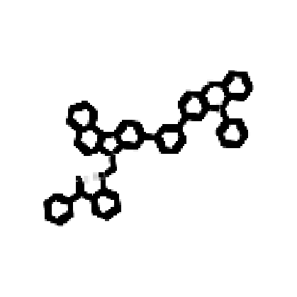 N=C(c1ccccc1)c1ccccc1NCn1c2cc(-c3cccc(-c4ccc5c(c4)N(c4ccccc4)c4ccccc4S5)c3)ccc2c2c3ccccc3ccc21